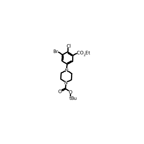 CCOC(=O)c1cc(N2CCN(C(=O)OC(C)(C)C)CC2)cc(Br)c1Cl